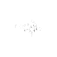 C[C@@H](O[C@H]1CC[C@@H](C(=O)C[C@]2(C)C(=O)O[C@@H](c3ccccc3)N2C(=O)OCc2ccccc2)[C@@H]1c1ccc(F)cc1)c1cc(C(F)(F)F)cc(C(F)(F)F)c1